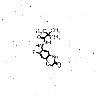 CC(C)(C)C(=O)NNc1cc2c(cc1F)OCC(=O)N2